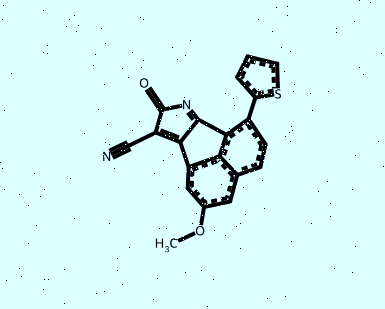 COc1cc2c3c(c(-c4cccs4)ccc3c1)C1=NC(=O)C(C#N)=C12